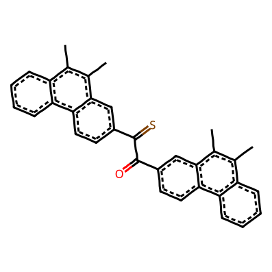 Cc1c(C)c2cc(C(=O)C(=S)c3ccc4c(c3)c(C)c(C)c3ccccc34)ccc2c2ccccc12